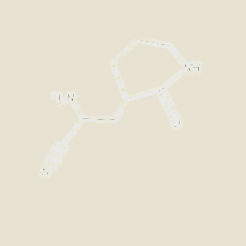 N#CC(N)C[C@@H]1CCCNC1=O